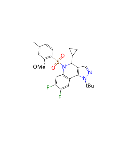 COc1cc(C)ccc1S(=O)(=O)N1c2cc(F)c(F)cc2-c2c(cnn2C(C)(C)C)[C@H]1C1CC1